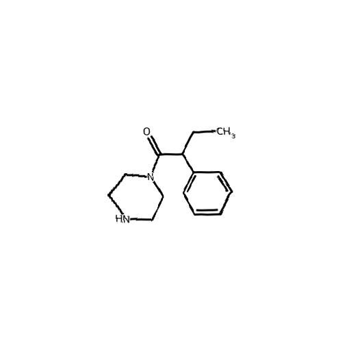 CCC(C(=O)N1CCNCC1)c1ccccc1